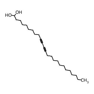 CCCCCCCCCCCCC#CC#CCCCCCCCCC(O)O